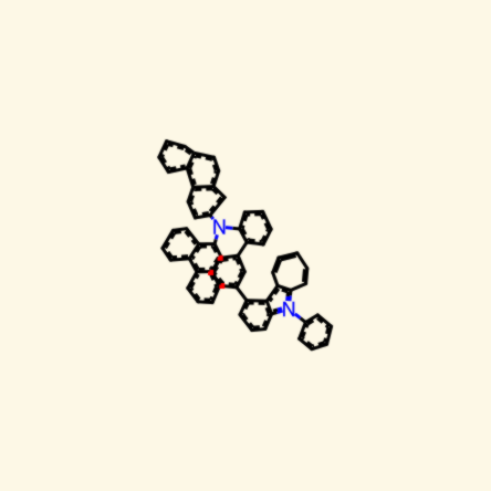 C1=CC=Cc2c(c3c(-c4cccc(-c5ccccc5N(c5ccc6c(ccc7ccccc76)c5)c5cc6ccccc6c6ccccc56)c4)cccc3n2-c2ccccc2)C=1